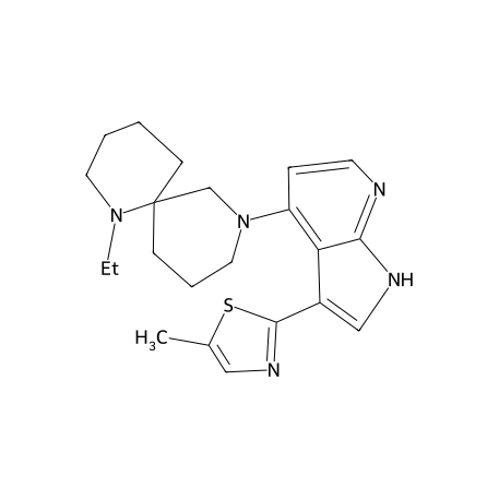 CCN1CCCCC12CCCN(c1ccnc3[nH]cc(-c4ncc(C)s4)c13)C2